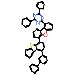 c1ccc(-c2cccc(-c3ccc(-c4cccc5c4oc4cccc(-c6nc(-c7ccccc7)nc(-c7ccccc7)n6)c45)c4sc5ccccc5c34)c2)cc1